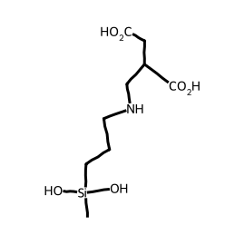 C[Si](O)(O)CCCNCC(CC(=O)O)C(=O)O